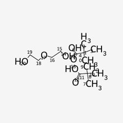 CC(C)(C)C(=O)O.CC(C)(C)C(=O)O.OCCOCCO